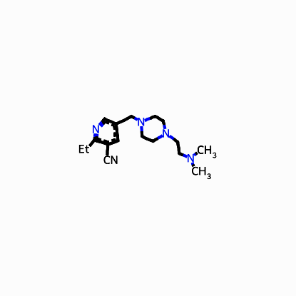 CCc1ncc(CN2CCN(CCN(C)C)CC2)cc1C#N